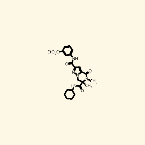 CCOC(=O)c1cccc(NC(=O)c2cc3n(n2)CC(C)(C(=O)NC2CCCCC2)N(C)C3=O)c1